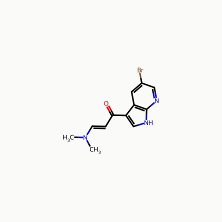 CN(C)C=CC(=O)c1c[nH]c2ncc(Br)cc12